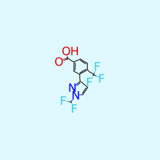 O=C(O)c1ccc(C(F)(F)F)c(-c2ccn(C(F)F)n2)c1